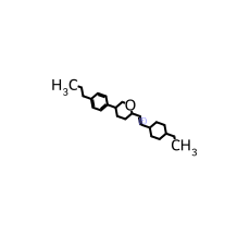 CCCc1ccc(C2CCC(/C=C/C3CCC(CC)CC3)OC2)cc1